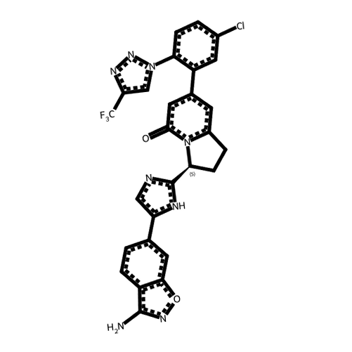 Nc1noc2cc(-c3cnc([C@@H]4CCc5cc(-c6cc(Cl)ccc6-n6cc(C(F)(F)F)nn6)cc(=O)n54)[nH]3)ccc12